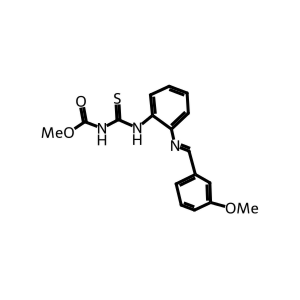 COC(=O)NC(=S)Nc1ccccc1N=Cc1cccc(OC)c1